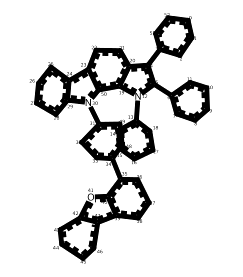 c1ccc(-c2c(-c3ccccc3)n(-c3ccccc3)c3c2ccc2c4ccccc4n(-c4ccc(-c5cccc6c5oc5ccccc56)cc4)c23)cc1